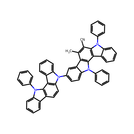 Cc1c(C#N)c2c(c3ccccc3n2-c2ccccc2)c2c1c1cc(-n3c4ccccc4c4c3ccc3c5ccccc5n(-c5ccccc5)c34)ccc1n2-c1ccccc1